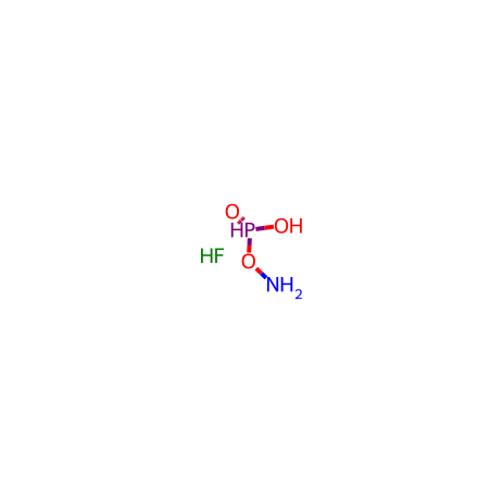 F.NO[PH](=O)O